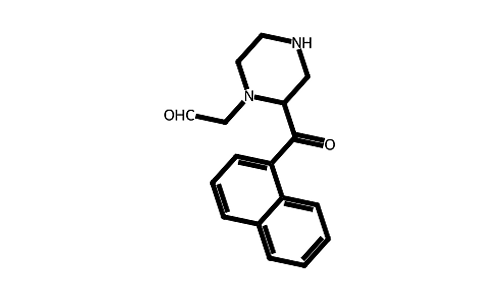 O=CCN1CCNCC1C(=O)c1cccc2ccccc12